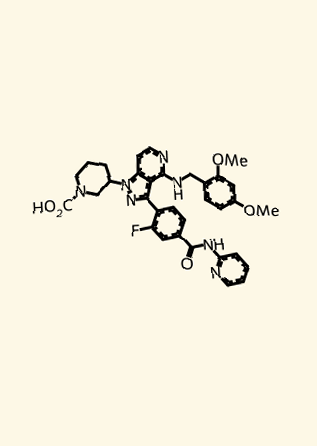 COc1ccc(CNc2nccc3c2c(-c2ccc(C(=O)Nc4ccccn4)cc2F)nn3C2CCCN(C(=O)O)C2)c(OC)c1